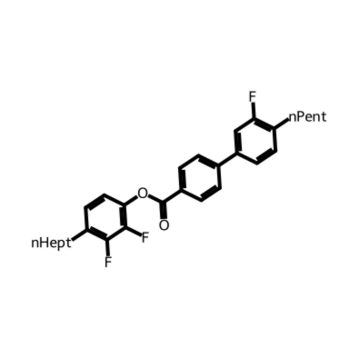 CCCCCCCc1ccc(OC(=O)c2ccc(-c3ccc(CCCCC)c(F)c3)cc2)c(F)c1F